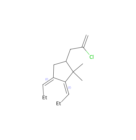 C=C(Cl)CC1CC(=C/CC)/C(=C\CC)C1(C)C